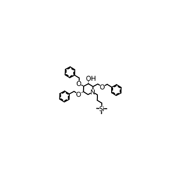 C[Si](C)(C)CCCN1C[C@H](OCc2ccccc2)[C@@H](OCc2ccccc2)[C@H](O)C1COCc1ccccc1